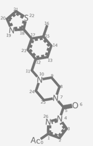 CC(=O)c1ccn(C(=O)N2CCN(Cc3ccc(C)c(-c4nccs4)c3)CC2)n1